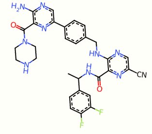 CC(NC(=O)c1nc(C#N)cnc1NCc1ccc(-c2cnc(N)c(C(=O)N3CCNCC3)n2)cc1)c1ccc(F)c(F)c1